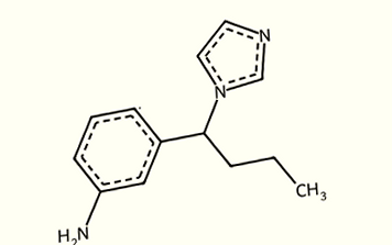 CCCC(c1[c]ccc(N)c1)n1ccnc1